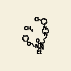 C.CCc1nn(CCCN2CCN(c3cccc(Cl)c3)CC2)c(=O)n1CCOc1ccccc1